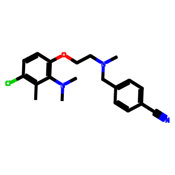 Cc1c(Cl)ccc(OCCN(C)Cc2ccc(C#N)cc2)c1N(C)C